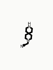 N#CCN1CCC2(CCNCC2)CC1